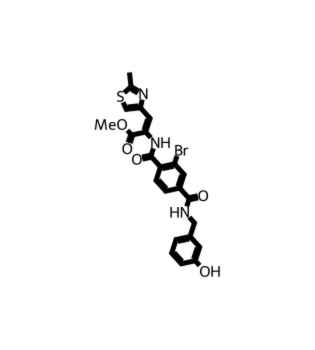 COC(=O)C(=Cc1csc(C)n1)NC(=O)c1ccc(C(=O)NCc2cccc(O)c2)cc1Br